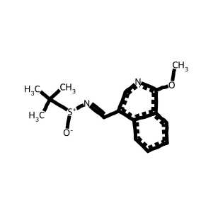 COc1ncc(/C=N/[S+]([O-])C(C)(C)C)c2ccccc12